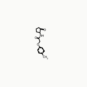 Cc1ccc(OCC(=O)NC2CCCC2=O)cc1